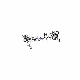 CC(C)(CCCC/C=C/CCCCCC(C)(C)C(=O)N=O)C(=O)N=O